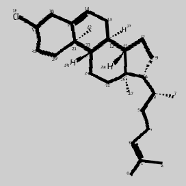 CC(C)=CCC[C@@H](C)[C@H]1CC[C@H]2[C@@H]3CC=C4CC(Cl)CC[C@]4(C)[C@H]3CC[C@]12C